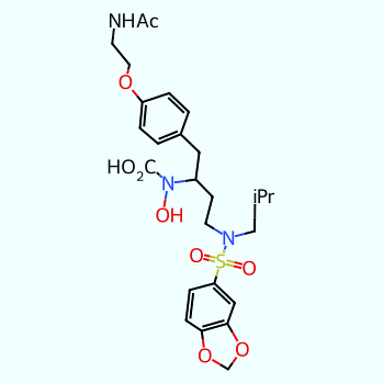 CC(=O)NCCOc1ccc(CC(CCN(CC(C)C)S(=O)(=O)c2ccc3c(c2)OCO3)N(O)C(=O)O)cc1